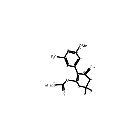 CCCCCCCC(=O)OC1=C(c2cc(OC)cc(C(F)(F)F)c2)C(=O)CC(C)(C)C1